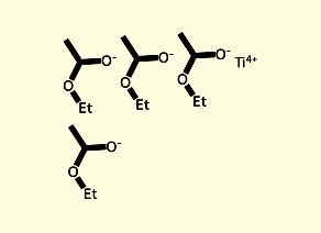 CCOC(C)[O-].CCOC(C)[O-].CCOC(C)[O-].CCOC(C)[O-].[Ti+4]